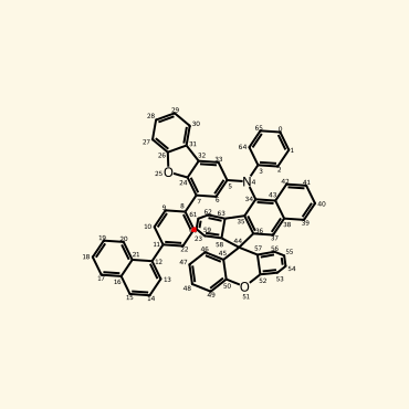 c1ccc(N(c2cc(-c3ccc(-c4cccc5ccccc45)cc3)c3oc4ccccc4c3c2)c2c3c(cc4ccccc24)C2(c4ccccc4Oc4ccccc42)c2ccccc2-3)cc1